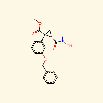 COC(=O)[C@]1(c2cccc(OCc3ccccc3)c2)C[C@H]1C(=O)NO